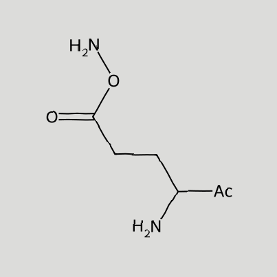 CC(=O)C(N)CCC(=O)ON